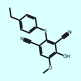 CCc1ccc(Sc2c(C#N)cc(OC)c(O)c2C#N)cc1